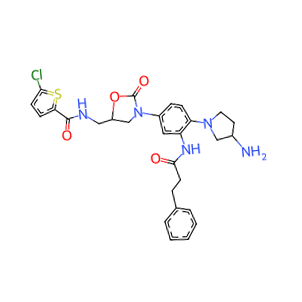 NC1CCN(c2ccc(N3CC(CNC(=O)c4ccc(Cl)s4)OC3=O)cc2NC(=O)CCc2ccccc2)C1